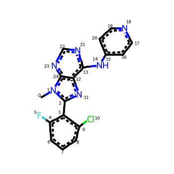 Cn1c(-c2c(F)cccc2Cl)nc2c(Nc3ccncc3)ncnc21